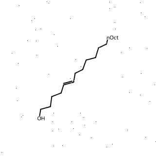 CCCCCCCCCCCCCCC=CCCCCO